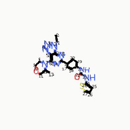 CCn1nnc2c(N3CCOCC3C)nc(-c3ccc(NC(=O)Nc4cccs4)cc3)nc21